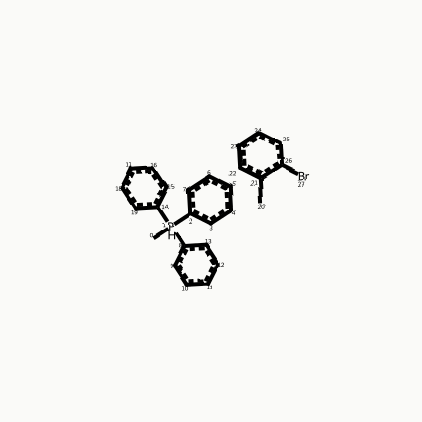 C[PH](c1ccccc1)(c1ccccc1)c1ccccc1.Cc1ccccc1Br